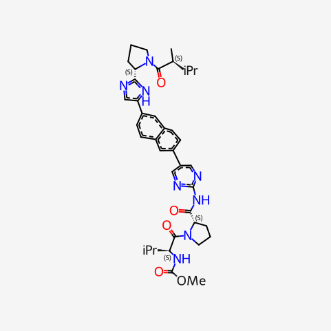 COC(=O)N[C@H](C(=O)N1CCC[C@H]1C(=O)Nc1ncc(-c2ccc3cc(-c4cnc([C@@H]5CCCN5C(=O)[C@@H](C)C(C)C)[nH]4)ccc3c2)cn1)C(C)C